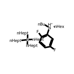 CCCCCCC[B-](CCCCCCC)(CCCCCCC)CCCCCCC.CCCCCC[NH+](CCCC)c1cc(F)ccc1F